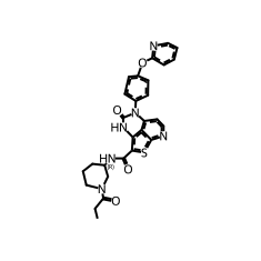 CCC(=O)N1CCC[C@@H](NC(=O)c2sc3nccc4c3c2NC(=O)N4c2ccc(Oc3ccccn3)cc2)C1